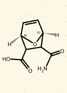 NC(=O)C1C(C(=O)O)[C@H]2C=C[C@@H]1O2